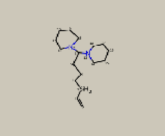 C=C[SiH2]CCCC(N1CCCCC1)N1CCCCC1